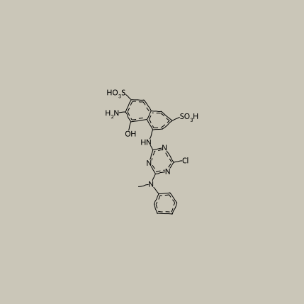 CN(c1ccccc1)c1nc(Cl)nc(Nc2cc(S(=O)(=O)O)cc3cc(S(=O)(=O)O)c(N)c(O)c23)n1